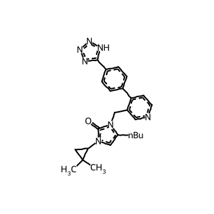 CCCCc1cn(C2CC2(C)C)c(=O)n1Cc1cnccc1-c1ccc(-c2nnn[nH]2)cc1